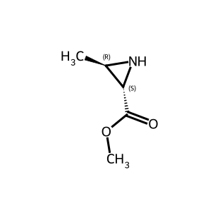 COC(=O)[C@H]1N[C@@H]1C